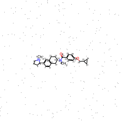 CN1CCC[C@@H]1c1ccc2c(c1)CC[C@H](N(C)C(=O)c1ccc(OCC3CC3)cc1)C2